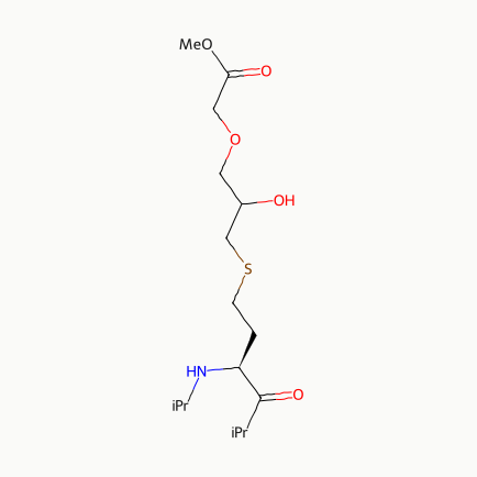 COC(=O)COCC(O)CSCC[C@H](NC(C)C)C(=O)C(C)C